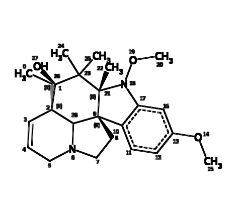 CC[C@]12C=CCN3CC[C@@]4(c5ccc(OC)cc5N(OC)[C@@]4(C)C(C)(C)[C@@H]1O)C32